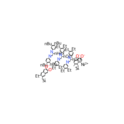 CCCCCCC(C=Nc1ccc(CCCC)c(CCCC)c1)=Nc1ccc(CCCC)c(CCCC)c1.CCCCCCCCC(C=Nc1ccc(CC)c(CC)c1)=Nc1ccc(CC)c(CC)c1.CCCCCCCCC(C=Nc1ccc(CC)c(CC)c1)=Nc1ccc(CC)c(CC)c1.CCc1cc2cc([O-])c([O-])cc2cc1C[Si](C)(C)C.Cc1ccc2c([O-])c([O-])ccc2c1C[Si](C)(C)C.[Ni+2]